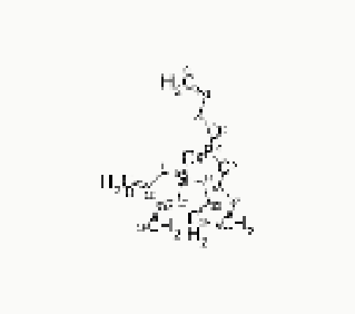 C=CCOP(OCC=C)O[Si](CC=C)(CC=C)CC=C